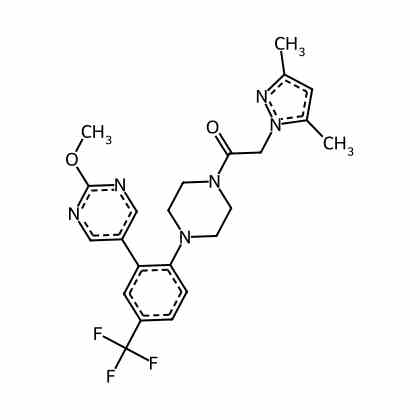 COc1ncc(-c2cc(C(F)(F)F)ccc2N2CCN(C(=O)Cn3nc(C)cc3C)CC2)cn1